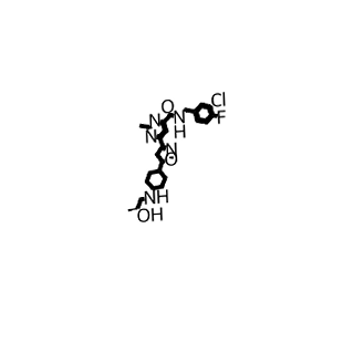 Cc1nc(C(=O)NCc2ccc(F)c(Cl)c2)cc(C2=NOC(C3CCC(NC[C@H](C)O)CC3)C2)n1